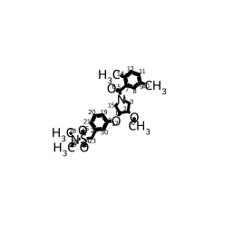 COC1CN(C(=O)c2cc(C)ccc2C)CC1Oc1cccc(CS(=O)(=O)N(C)C)c1